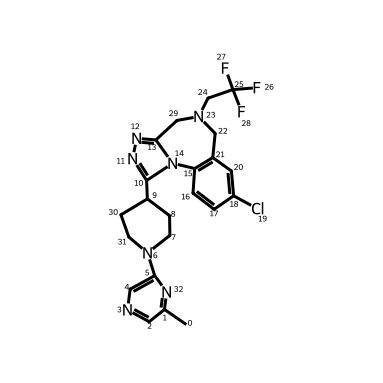 Cc1cncc(N2CCC(c3nnc4n3-c3ccc(Cl)cc3CN(CC(F)(F)F)C4)CC2)n1